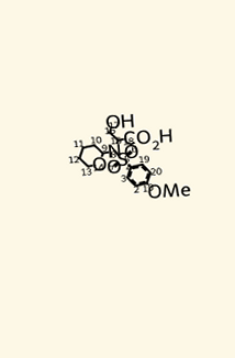 COc1ccc(S(=O)(=O)N(C2CCCCO2)C(CO)C(=O)O)cc1